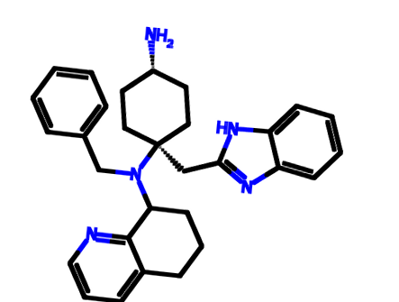 N[C@H]1CC[C@](Cc2nc3ccccc3[nH]2)(N(Cc2ccccc2)C2CCCc3cccnc32)CC1